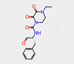 CCN1CCN(C(=O)N[C@@H](C=O)Cc2ccccc2)C(=O)C1=O